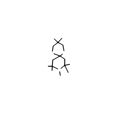 CCC1(CC)CC2(CC(C)(C)N1O)OCC(C)(C(=O)O)CO2